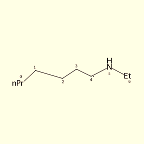 CCCCCC[CH]NCC